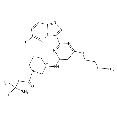 COCCOc1cc(N[C@@H]2CCCN(C(=O)OC(C)(C)C)C2)nc(-c2cnc3ccc(F)cn23)n1